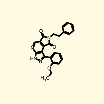 CCOc1ccccc1-c1n[nH]c2ncc3c(c12)C(=O)N(CCc1ccccc1)C3=O